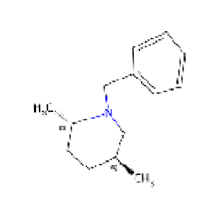 C[C@H]1CC[C@H](C)N(Cc2ccccc2)C1